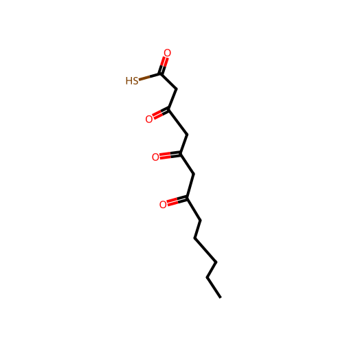 CCCCCC(=O)CC(=O)CC(=O)CC(=O)S